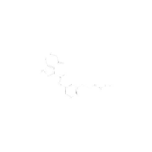 CCCCNCCOc1cccc(NC(=O)c2c[nH]c3c2C(=O)CCC3)c1